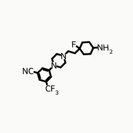 N#Cc1cc(N2CCN(CCC3(F)CCC(N)CC3)CC2)cc(C(F)(F)F)c1